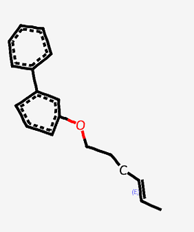 C/C=C/CCCOc1cccc(-c2ccccc2)c1